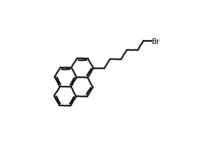 BrCCCCCCc1ccc2ccc3cccc4ccc1c2c34